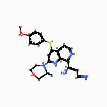 COc1ccc(Sc2cc(N3CCOCC3C)nc3c(/C(N)=C/C=N)nccc23)cc1